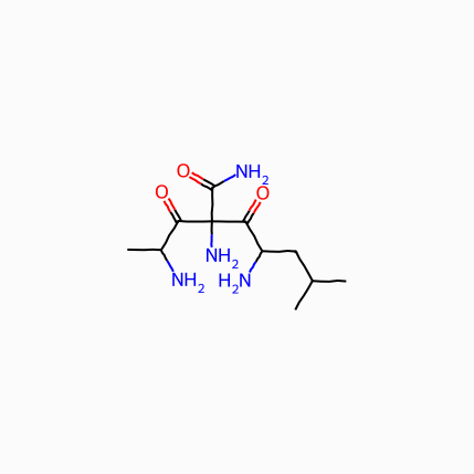 CC(C)CC(N)C(=O)C(N)(C(N)=O)C(=O)C(C)N